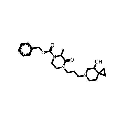 CC1C(=O)N(CCCN2CCC3(CC3)C(O)C2)CCN1C(=O)OCc1ccccc1